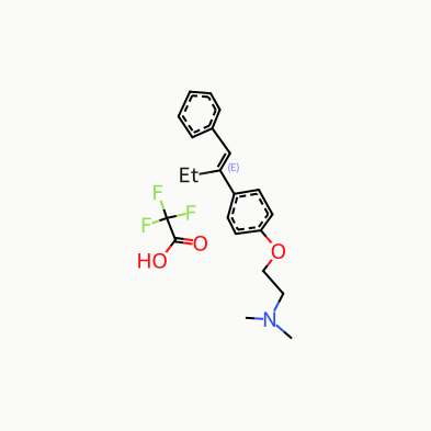 CC/C(=C\c1ccccc1)c1ccc(OCCN(C)C)cc1.O=C(O)C(F)(F)F